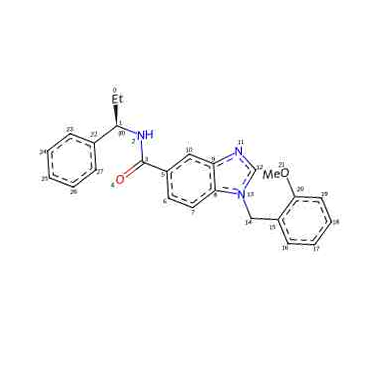 CC[C@@H](NC(=O)c1ccc2c(c1)ncn2Cc1ccccc1OC)c1ccccc1